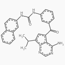 CC(C)c1cc(C(=O)c2cccc(NC(=O)Nc3ccc4ccccc4c3)c2)c2c(N)ncnn12